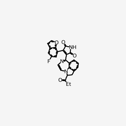 CCC(=O)C1Cc2cccc3c2N1C=CN=C3C1=C(c2cc(F)cc3ccoc23)C(=O)NC1=O